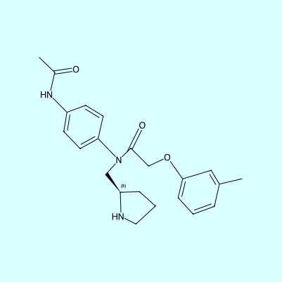 CC(=O)Nc1ccc(N(C[C@H]2CCCN2)C(=O)COc2cccc(C)c2)cc1